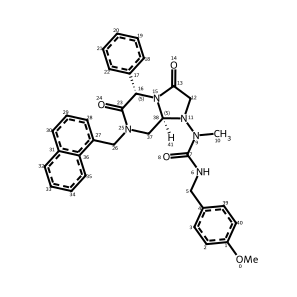 COc1ccc(CNC(=O)N(C)N2CC(=O)N3[C@@H](c4ccccc4)C(=O)N(Cc4cccc5ccccc45)C[C@@H]32)cc1